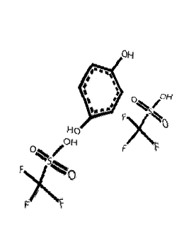 O=S(=O)(O)C(F)(F)F.O=S(=O)(O)C(F)(F)F.Oc1ccc(O)cc1